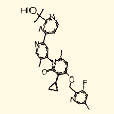 Cc1cnc(COc2cc(C)n(-c3cc(-c4ccnc(C(C)(C)O)n4)ncc3C)c(=O)c2C2CC2)c(F)c1